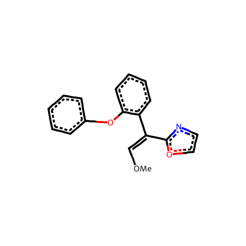 COC=C(c1ncco1)c1ccccc1Oc1ccccc1